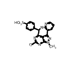 Cn1nc(-c2cccnc2)c2c(C(N)c3ccc(S(=O)(=O)O)cc3)nc(Cl)nc21